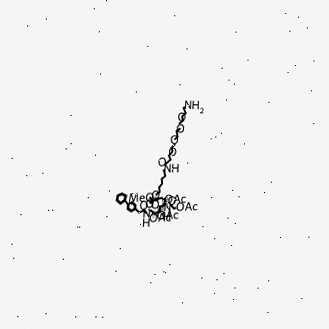 COC(=O)[C@@]1(OCCCCCCNC(=O)CCOCCOCCOCCOCCN)C[C@H](OC(C)=O)[C@@H](NC(=O)COC(C)=O)[C@H]([C@H](OC(C)=O)[C@@H](CNC(=O)Cc2ccc(-c3ccccc3)cc2)OC(C)=O)O1